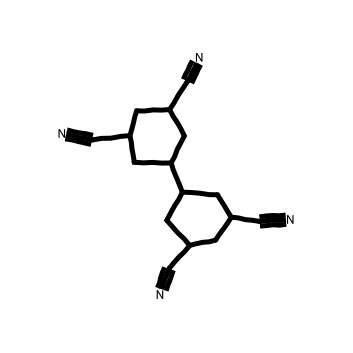 N#CC1CC(C#N)CC(C2CC(C#N)CC(C#N)C2)C1